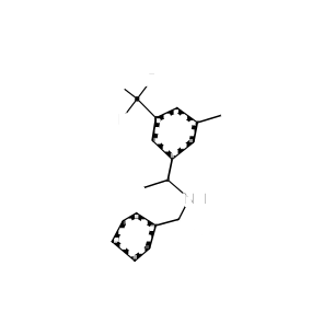 Cc1cc(C(C)N[C@H](C)c2ccccc2)cc(C(F)(F)F)c1